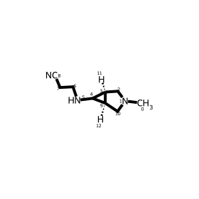 CN1C[C@@H]2C(NCCC#N)[C@@H]2C1